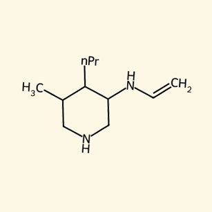 C=CNC1CNCC(C)C1CCC